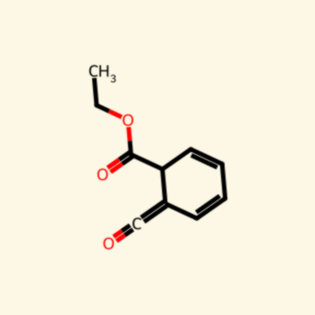 CCOC(=O)C1C=CC=CC1=C=O